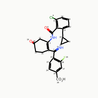 N=C(C1=C(NC(=O)c2c(Cl)cccc2C2CC2)CC(=O)CC1)c1ccc(C(=O)O)cc1F